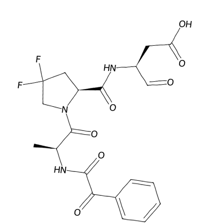 C[C@H](NC(=O)C(=O)c1ccccc1)C(=O)N1CC(F)(F)C[C@H]1C(=O)N[C@H](C=O)CC(=O)O